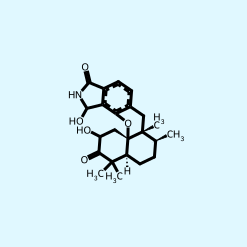 C[C@H]1CC[C@H]2C(C)(C)C(=O)C(O)C[C@]23Oc2c(ccc4c2C(O)NC4=O)C[C@]13C